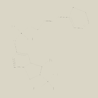 CC(C)C1C2C=C(OC(C)(C)OCCCCC3=CC=CCC3)C=CC2CC1C(C)(C)I